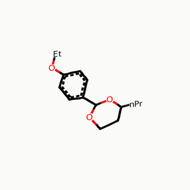 CCCC1CCOC(c2ccc(OCC)cc2)O1